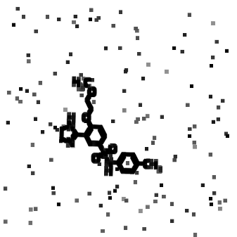 COCCOc1ccc(S(=O)(=O)Nc2ccc(C)cc2)cc1C1=NCCN1